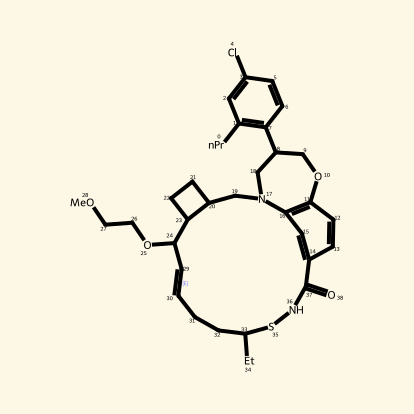 CCCc1cc(Cl)ccc1C1COc2ccc3cc2N(C1)CC1CCC1C(OCCOC)/C=C/CCC(CC)SNC3=O